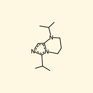 CC(C)c1ncc2n1CCCN2C(C)C